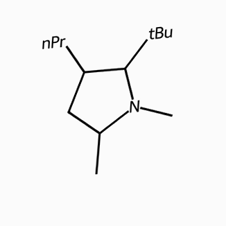 CCCC1CC(C)N(C)C1C(C)(C)C